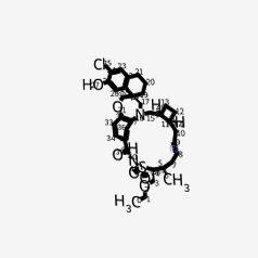 CCOC[C@@H]1[C@@H](C)C/C=C/C[C@H]2CC[C@H]2CN2C[C@@]3(CCCc4cc(Cl)c(O)cc43)COc3ccc(cc32)C(=O)NS1(=O)=O